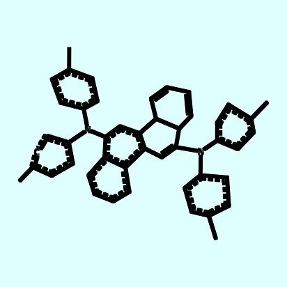 Cc1ccc(N(C2=Cc3c(cc(N(c4ccc(C)cc4)c4ccc(C)cc4)c4ccccc34)C3C=CC=CC23)c2ccc(C)cc2)cc1